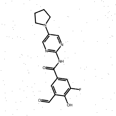 O=Cc1cc(C(=O)Nc2ncc(N3CCCC3)cn2)cc(F)c1O